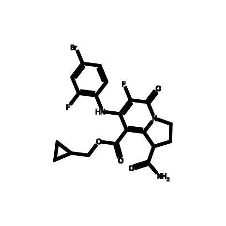 NC(=O)C1CCn2c1c(C(=O)OCC1CC1)c(Nc1ccc(Br)cc1F)c(F)c2=O